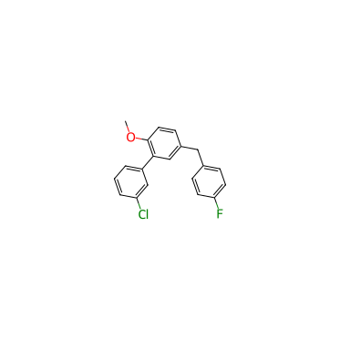 COc1ccc(Cc2ccc(F)cc2)cc1-c1cccc(Cl)c1